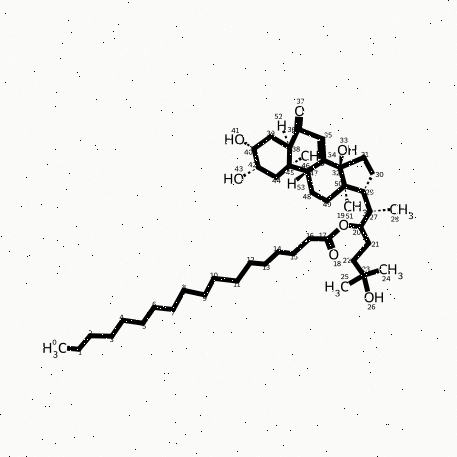 CCCCCCCCCCCCCCCCCC(=O)OC(CCC(C)(C)O)[C@@H](C)[C@H]1CC[C@@]2(O)C3=CC(=O)[C@@H]4C[C@@H](O)[C@@H](O)C[C@]4(C)[C@H]3CC[C@]12C